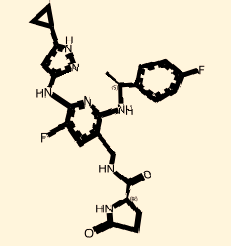 C[C@H](Nc1nc(Nc2cc(C3CC3)[nH]n2)c(F)cc1CNC(=O)[C@H]1CCC(=O)N1)c1ccc(F)cc1